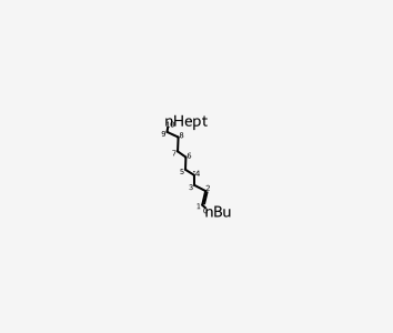 CCCCC=CC[CH]CCCCCCCCCCCC